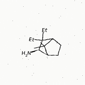 CCC1(CC)C2CCC([C@H]1N)C2(C)C